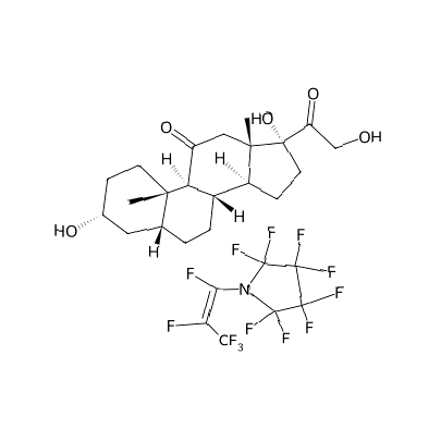 C[C@]12CC[C@@H](O)C[C@H]1CC[C@@H]1[C@@H]2C(=O)C[C@@]2(C)[C@H]1CC[C@]2(O)C(=O)CO.F/C(=C(\F)C(F)(F)F)N1C(F)(F)C(F)(F)C(F)(F)C1(F)F